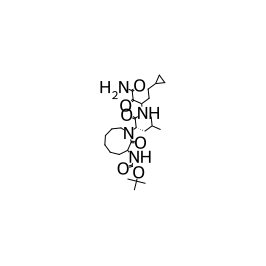 CC(C)C[C@@H](C(=O)NC(CCC1CC1)C(=O)C(N)=O)N1CCCCCC[C@H](NC(=O)OC(C)(C)C)C1=O